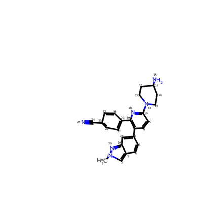 Cn1cc2ccc(-c3ccc(N4CCC(N)CC4)nc3-c3ccc(C#N)cc3)cc2n1